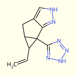 C=CC1C2Cc3c[nH]nc3C12c1nn[nH]n1